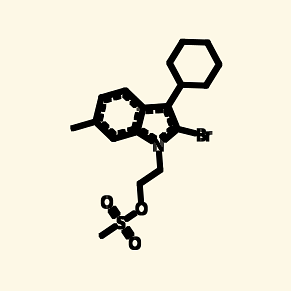 Cc1ccc2c(C3CCCCC3)c(Br)n(CCOS(C)(=O)=O)c2c1